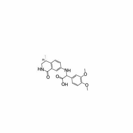 COc1ccc(C(Nc2ccc3c(c2)C(=O)NC[C@@H]3C)C(=O)O)cc1OC